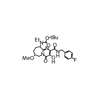 CCN(C(=O)OC(C)(C)C)C1CC[C@H](OC)Cn2c1nc(C(=O)NCc1ccc(F)cc1)c(O)c2=O